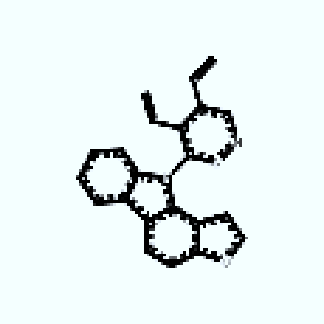 C=Cc1cnnc(-n2c3ccccc3c3ccc4occc4c32)c1C=C